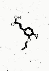 CCCOc1cc(C=CC(=O)O)ccc1OC